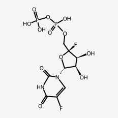 O=c1[nH]c(=O)n([C@@H]2O[C@](F)(COP(=O)(O)OP(=O)(O)O)[C@@H](O)[C@H]2O)cc1F